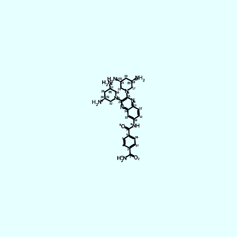 NC(=O)c1ccc(C(=O)Nc2ccc3nc(N4C[C@H](N)C[C@H](N)C4)c(N4C[C@H](N)C[C@H](N)C4)nc3c2)cc1